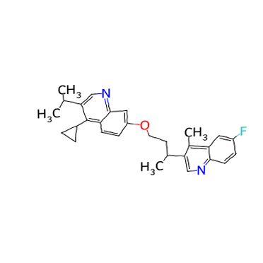 Cc1c(C(C)CCOc2ccc3c(C4CC4)c(C(C)C)cnc3c2)cnc2ccc(F)cc12